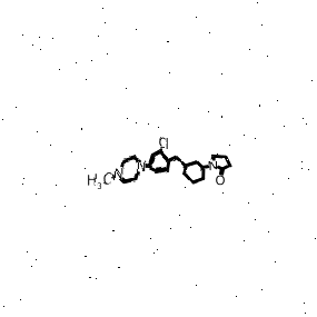 CN1CCN(c2ccc(CC3CCCC(N4CCCC4=O)C3)c(Cl)c2)CC1